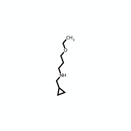 CCOCCCNCC1CC1